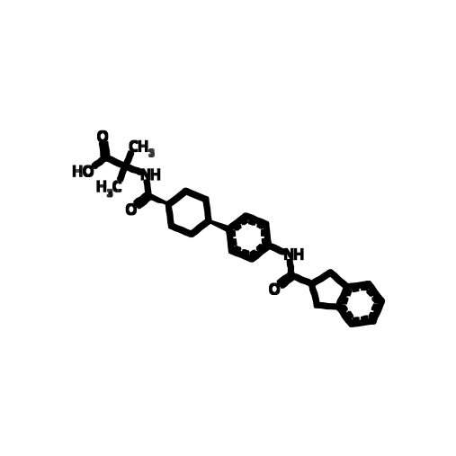 CC(C)(NC(=O)[C@H]1CC[C@@H](c2ccc(NC(=O)C3Cc4ccccc4C3)cc2)CC1)C(=O)O